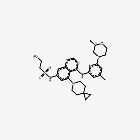 Cc1cc(Nc2ncnc3cc(NS(=O)(=O)CCO)cc(N4CCC5(CC4)CC5)c23)nc(N2CCO[C@H](C)C2)c1